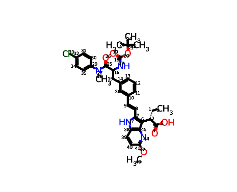 CC[C@H](C(=O)O)c1c(/C=C/c2cccc(CC(NC(=O)OC(C)(C)C)C(=O)N(C)c3ccc(Cl)cc3)c2)[nH]c2ccc(OC)nc12